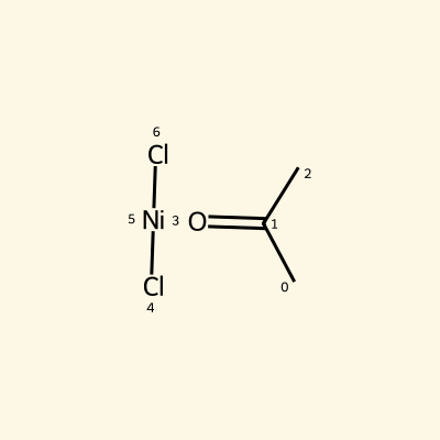 CC(C)=O.[Cl][Ni][Cl]